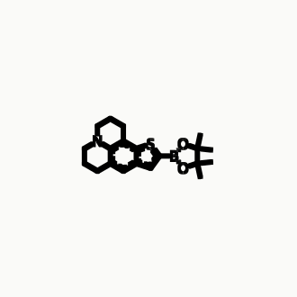 CC1(C)OB(c2cc3cc4c5c(c3s2)CCCN5CCC4)OC1(C)C